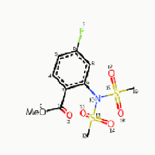 COC(=O)c1ccc(F)cc1N(S(C)(=O)=O)S(C)(=O)=O